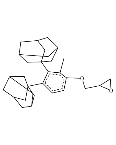 Cc1c(OCC2CO2)ccc(C23CC4CC(CC(C4)C2)C3)c1C12CC3CC(CC(C3)C1)C2